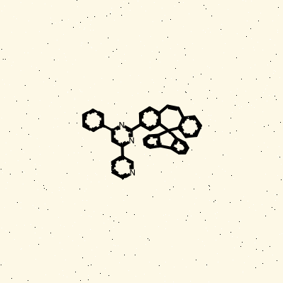 C1=Cc2ccc(-c3nc(-c4ccccc4)cc(-c4cccnc4)n3)cc2C2(c3ccccc31)c1ccccc1-c1ccccc12